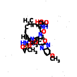 COc1ccc2nc(C)c(O[C@@H]3C[C@H]4C(=O)N[C@]5(C(=O)NS(=O)(=O)C6(C)CC6)C[C@H]5C=CCC[C@H](C)C[C@@H](C)[C@H](NC(=O)O)C(=O)N4C3)nc2c1